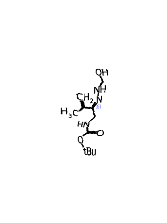 C=C(C)/C(CNC(=O)OC(C)(C)C)=N\NCO